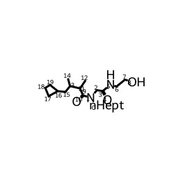 CCCCCCCN(CC(=O)NCCO)C(=O)C(C)C(C)CC1CCC1